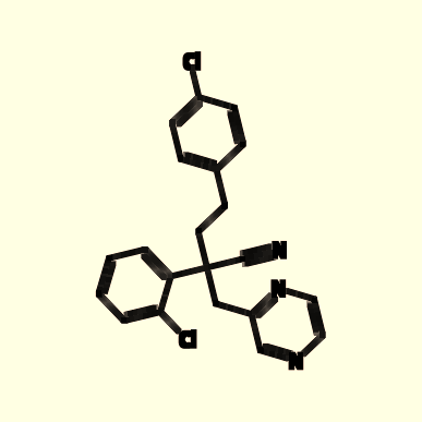 N#CC(CCc1ccc(Cl)cc1)(Cc1cnccn1)c1ccccc1Cl